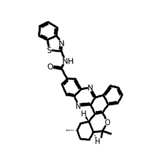 C[C@H]1CC[C@H]2[C@H](C1)c1c(c3ccccc3c3nc4cc(C(=O)Nc5nc6ccccc6s5)ccc4nc13)OC2(C)C